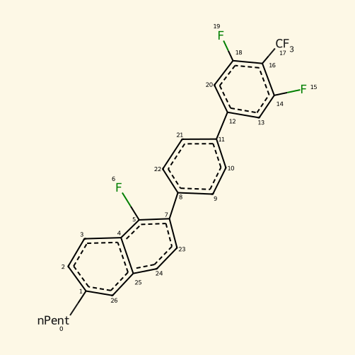 CCCCCc1ccc2c(F)c(-c3ccc(-c4cc(F)c(C(F)(F)F)c(F)c4)cc3)ccc2c1